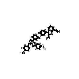 CCC1N=C2C(C#N)=CC=CN2C1c1cccc(Oc2cccc(S(=O)(=O)N(CC3=CC=C(OC)CC3)CC3C=CC(OC)=CC3)c2)c1